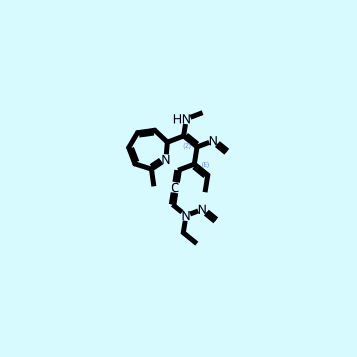 C=NC(=C(\NC)C1C=CC=CC(C)=N1)/C(C=C=CN(CC)N=C)=C/C